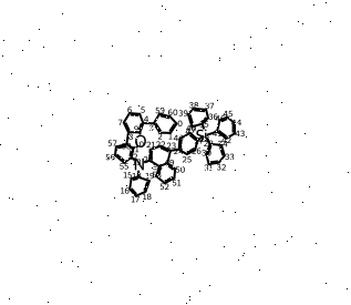 c1ccc(-c2cccc3c2oc2c(N(c4ccccc4)c4ccc(-c5ccc([Si](c6ccccc6)(c6ccccc6)c6ccccc6)cc5)c5ccccc45)cccc23)cc1